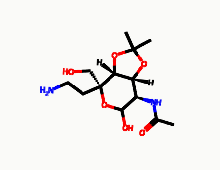 CC(=O)N[C@H]1C(O)O[C@@](CO)(CCN)[C@@H]2OC(C)(C)O[C@@H]21